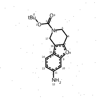 CC(C)(C)OC(=O)N1CCc2oc3cc(N)ccc3c2C1